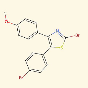 COc1ccc(-c2nc(Br)sc2-c2ccc(Br)cc2)cc1